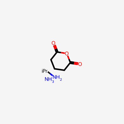 CC(C)N.N.O=C1CCCC(=O)O1